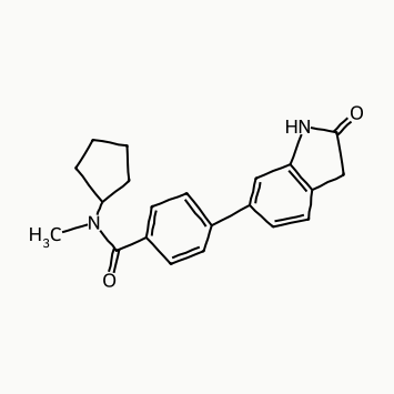 CN(C(=O)c1ccc(-c2ccc3c(c2)NC(=O)C3)cc1)C1CCCC1